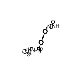 C[C@H](OC1CCCCO1)c1nccn1Cc1cc(-c2ccc(C#Cc3ccc(CN4CCNC(=O)C4)cc3)cc2)on1